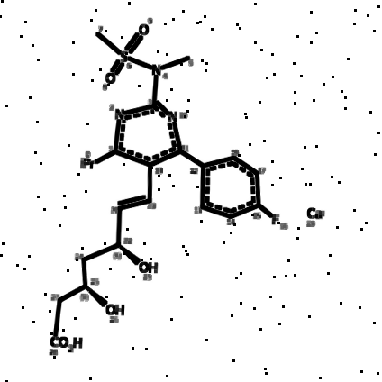 CC(C)c1nc(N(C)S(C)(=O)=O)nc(-c2ccc(F)cc2)c1C=C[C@@H](O)C[C@@H](O)CC(=O)O.[Ca]